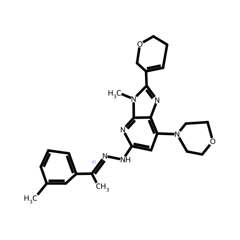 C/C(=N\Nc1cc(N2CCOCC2)c2nc(C3=CCCOC3)n(C)c2n1)c1cccc(C)c1